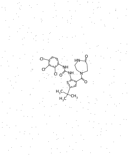 CC(C)(C)c1cc(C(=O)N2CCNC(=O)CC2)c(NC(=O)Nc2ccc(Cl)c(Cl)c2Cl)s1